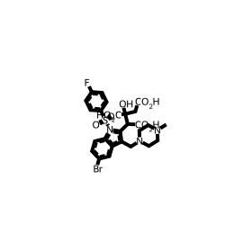 CN1CCN(Cc2c(C(C(=O)O)C(O)(CC(=O)O)C(=O)O)n(S(=O)(=O)c3ccc(F)cc3)c3ccc(Br)cc23)CC1